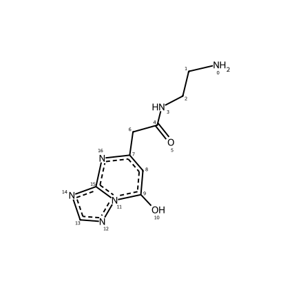 NCCNC(=O)Cc1cc(O)n2ncnc2n1